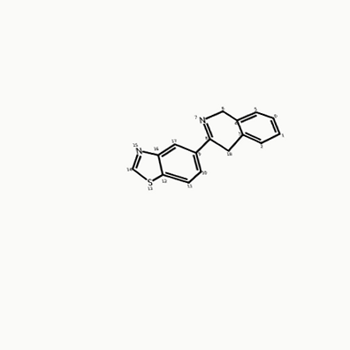 c1ccc2c(c1)CN=C(c1ccc3scnc3c1)C2